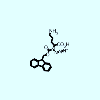 [N-]=[N+]=NN(C(=O)OCC1c2ccccc2-c2ccccc21)C(CCCN)C(=O)O